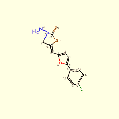 NN1CC(=Cc2ccc(-c3ccc(Cl)cc3)o2)SC1=S